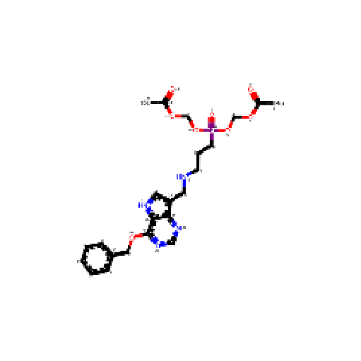 CC(C)(C)C(=O)OCOP(=O)(CCCNCc1c[nH]c2c(OCc3ccccc3)ncnc12)OCOC(=O)C(C)(C)C